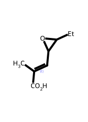 CCC1OC1/C=C(\C)C(=O)O